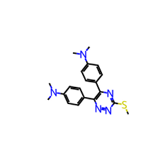 CSc1nnc(-c2ccc(N(C)C)cc2)c(-c2ccc(N(C)C)cc2)n1